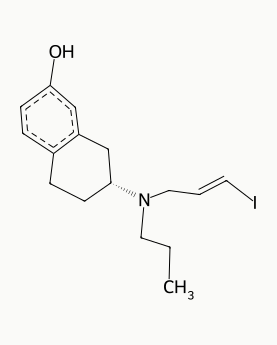 CCCN(C/C=C/I)[C@@H]1CCc2ccc(O)cc2C1